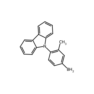 Bc1ccc(-n2c3ccccc3c3ccccc32)c(C)c1